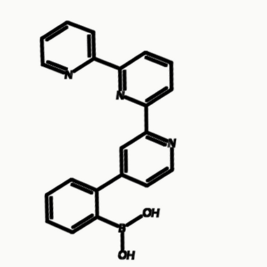 OB(O)c1ccccc1-c1ccnc(-c2cccc(-c3ccccn3)n2)c1